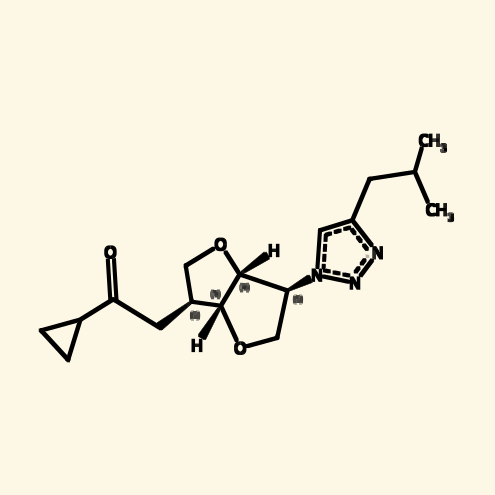 CC(C)Cc1cn([C@H]2CO[C@@H]3[C@@H](CC(=O)C4CC4)CO[C@@H]32)nn1